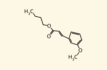 CCCCOC(=O)C=Cc1cccc(OC)c1